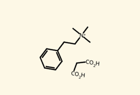 C[N+](C)(C)CCc1ccccc1.O=C(O)CC(=O)O